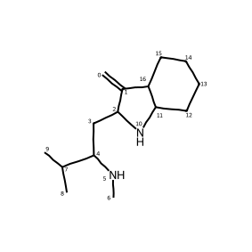 C=C1C(CC(NC)C(C)C)NC2CCCCC12